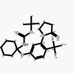 CC(C)(C)OC(=O)NC1(Oc2ccc(C(F)(F)F)c(N3CCCC3=O)c2)CCCCC1